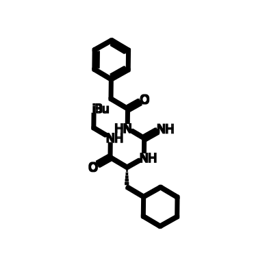 CCC(C)CNC(=O)[C@@H](CC1CCCCC1)NC(=N)NC(=O)Cc1ccccc1